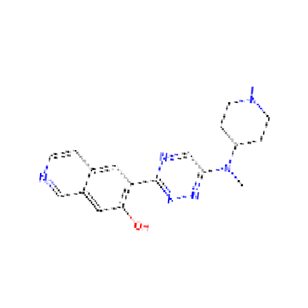 CN(c1cnc(-c2cc3ccncc3cc2O)nn1)C1CCNCC1